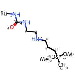 CCCCNC(=O)NCCNCCC[Si](C)(OC)OC